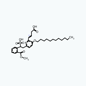 CCCCCCCCCCCCOc1ccc(CC(c2ccccc2C(=O)OC)S(=O)(=O)O)nc1/C=C/CC(=O)O